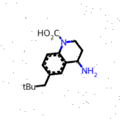 CC(C)(C)Cc1ccc2c(c1)C(N)CCN2C(=O)O